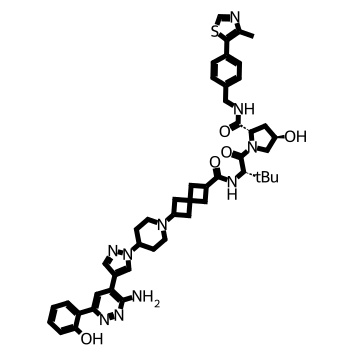 Cc1ncsc1-c1ccc(CNC(=O)[C@@H]2C[C@@H](O)CN2C(=O)[C@@H](NC(=O)C2CC3(C2)CC(N2CCC(n4cc(-c5cc(-c6ccccc6O)nnc5N)cn4)CC2)C3)C(C)(C)C)cc1